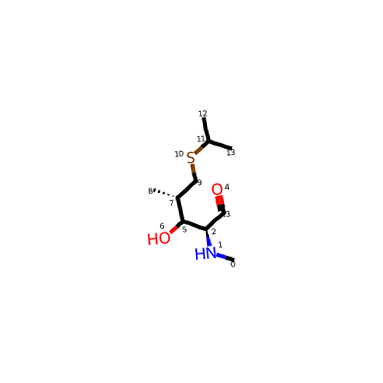 CN[C@H]([C]=O)C(O)[C@H](C)CSC(C)C